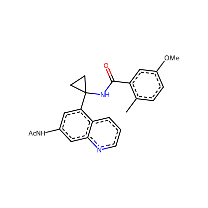 COc1ccc(C)c(C(=O)NC2(c3cc(NC(C)=O)cc4ncccc34)CC2)c1